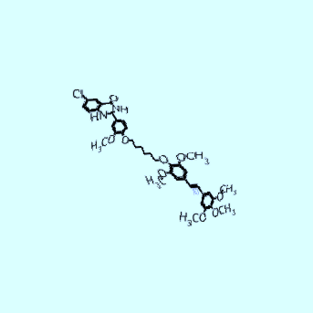 COc1cc(C2NC(=O)c3cc(Cl)ccc3N2)ccc1OCCCCCCOc1c(OC)cc(/C=C/c2cc(OC)c(OC)c(OC)c2)cc1OC